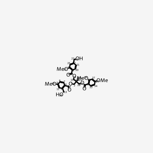 CCC(COC(=O)c1ccc(OC)cc1CO)(COC(=O)c1ccc(CO)cc1OC)COC(=O)c1ccc(OC)cc1OC